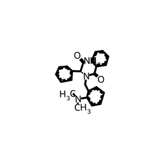 CN(C)c1ccccc1CN(C(=O)c1ccccc1)[C@@H](C(N)=O)c1ccccc1